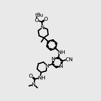 CN(C)C(=O)NC1CCCN(c2cnc(C#N)c(Nc3ccc(C4(C)CCN(C(=O)OC(C)(C)C)CC4)cc3)n2)C1